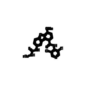 CCCCNC(=S)Nc1ccc2oc3c(OC)ccc(C(=O)Nc4c(Cl)cncc4Cl)c3c2c1